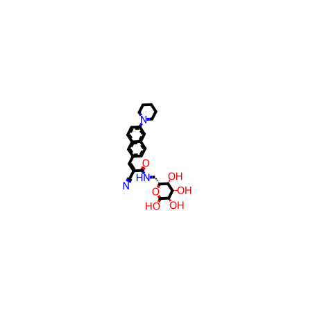 N#C/C(=C/c1ccc2cc(N3CCCCC3)ccc2c1)C(=O)NC[C@H]1OC(O)[C@H](O)[C@@H](O)[C@H]1O